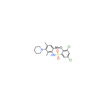 COc1c(Cl)cc(Cl)cc1S(=O)(=O)Nc1c(C)cc(C)c(N2CCCCC2)c1C